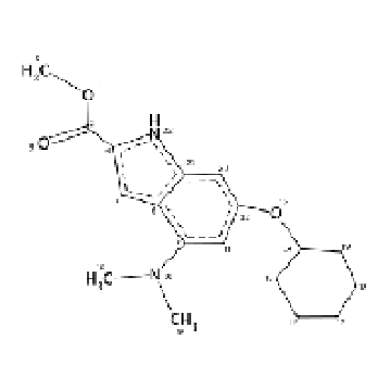 COC(=O)c1cc2c(N(C)C)cc(OC3CCCCC3)cc2[nH]1